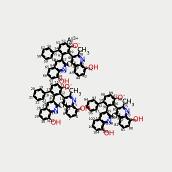 Cc1nc2c(O)cccc2cc1-c1c([O-])ccc(-c2ccccc2)c1-c1cc2cccc(O)c2nc1C.Cc1nc2c(O)cccc2cc1-c1c([O-])ccc(-c2ccccc2)c1-c1cc2cccc(O)c2nc1C.Cc1nc2c(O)cccc2cc1-c1c([O-])ccc(-c2ccccc2)c1-c1cc2cccc(O)c2nc1C.[Al+3]